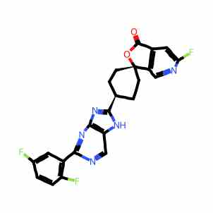 O=C1O[C@]2(CC[C@H](c3nc4nc(-c5cc(F)ccc5F)ncc4[nH]3)CC2)c2cnc(F)cc21